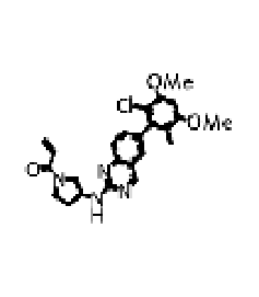 C=CC(=O)N1CCC(Nc2ncc3cc(-c4c(C)c(OC)cc(OC)c4Cl)ccc3n2)C1